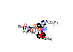 CCOC(=O)CN1CCN(c2ccc(S(=O)(=O)NC[C@@H](CNC(=O)OC(C)(C)C)O[Si](C)(C)C(C)(C)C)c(S(=O)(=O)N(Cc3ccccc3)Cc3ccccc3)c2-c2nnnn2Cc2ccc(OC)cc2)CC1